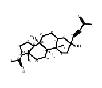 C=C(C)C#CC1(O)CC[C@@]2(C)C(CC[C@H]3[C@@H]4CC[C@H](C(C)=O)[C@@]4(C)CC[C@@H]32)C1